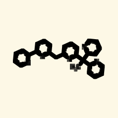 CC(c1ccccn1)(c1ccccn1)c1cccc(Cc2cccc(-c3ccccn3)n2)n1